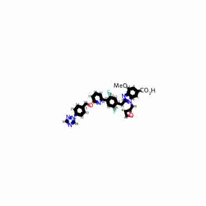 COc1cc(C(=O)O)cc2c1nc(Cc1cc(F)c(-c3cccc(OCc4ccc(-n5cncn5)cc4)n3)cc1F)n2CC1CCO1